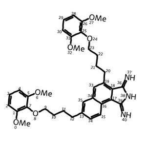 COc1cccc(OC)c1OCCCCc1ccc2c3c(c(CCCCOc4c(OC)cccc4OC)cc2c1)C(=N)NC3=N